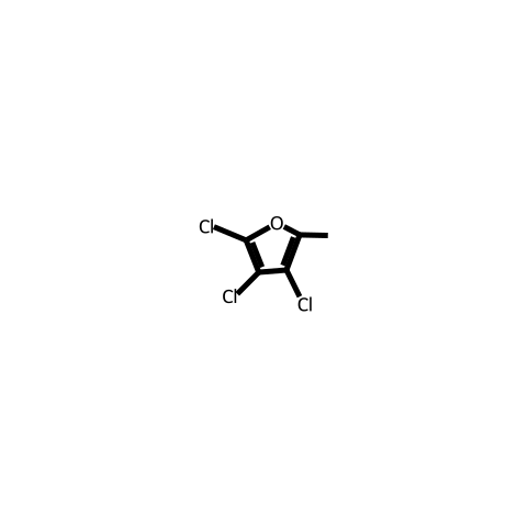 Cc1oc(Cl)c(Cl)c1Cl